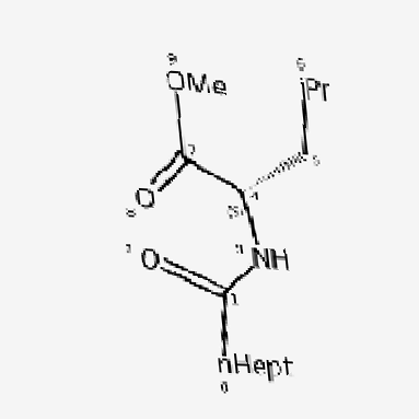 CCCCCCCC(=O)N[C@@H](CC(C)C)C(=O)OC